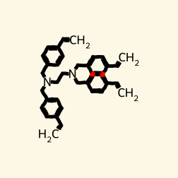 C=Cc1ccc(CN(CCN(Cc2ccc(C=C)cc2)Cc2ccc(C=C)cc2)Cc2ccc(C=C)cc2)cc1